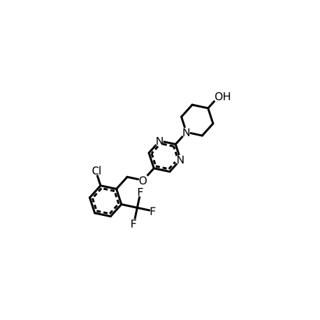 OC1CCN(c2ncc(OCc3c(Cl)cccc3C(F)(F)F)cn2)CC1